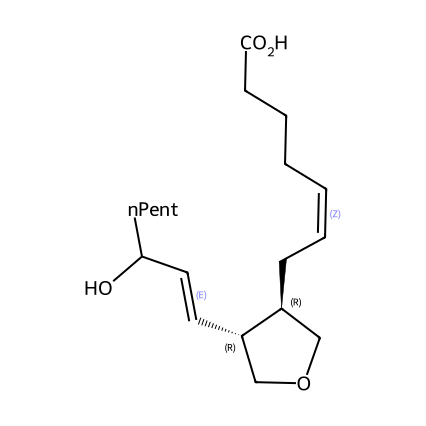 CCCCCC(O)/C=C/[C@H]1COC[C@@H]1C/C=C\CCCC(=O)O